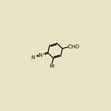 [N-]=[N+]=C1C=CC(C=O)C=C1Br